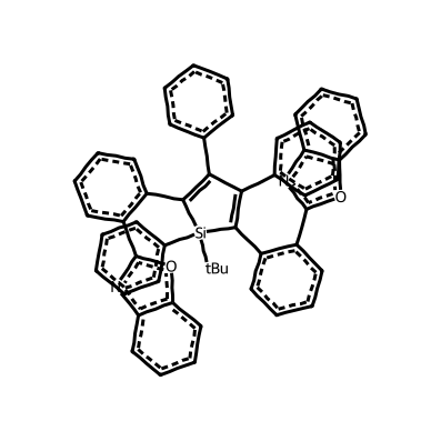 CC(C)(C)[Si]1(c2ccccc2)C(c2ccccc2-c2nc3ccccc3o2)=C(c2ccccc2)C(c2ccccc2)=C1c1ccccc1-c1nc2ccccc2o1